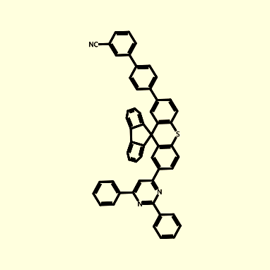 N#Cc1cccc(-c2ccc(-c3ccc4c(c3)C3(c5cc(-c6cc(-c7ccccc7)nc(-c7ccccc7)n6)ccc5S4)c4ccccc4-c4ccccc43)cc2)c1